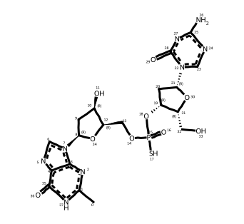 Cc1nc2c(ncn2[C@H]2C[C@@H](O)[C@@H](COP(=O)(S)O[C@@H]3C[C@H](n4cnc(N)nc4=O)O[C@@H]3CO)O2)c(=O)[nH]1